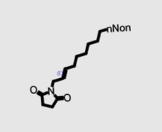 CCCCCCCCCCCCCCC/C=C/CN1C(=O)CCC1=O